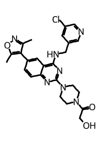 Cc1noc(C)c1-c1ccc2nc(N3CCN(C(=O)CO)CC3)nc(NCc3cncc(Cl)c3)c2c1